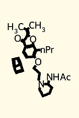 CCCc1c(OCCCN2CCCCC2NC(C)=O)ccc2c1OC(=C(C)C)C2=O.c1cc2ccc1-2